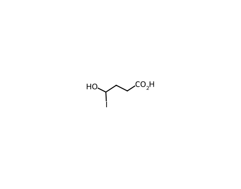 O=C(O)CCC(O)I